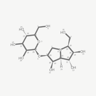 OCC1O[C@@H](O[C@H]2CN3[C@H]([C@H]2O)[C@@H](O)[C@H](O)[C@@H]3CO)C(O)C(O)[C@@H]1O